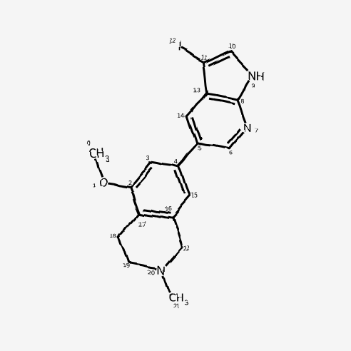 COc1cc(-c2cnc3[nH]cc(I)c3c2)cc2c1CCN(C)C2